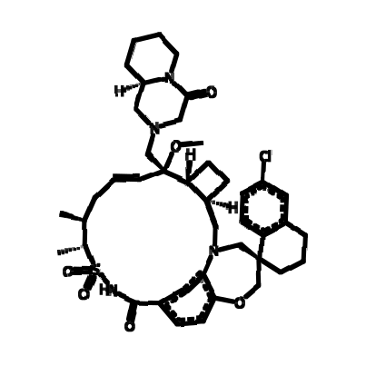 CO[C@@]1(CN2CC(=O)N3CCCC[C@@H]3C2)/C=C/C[C@H](C)[C@@H](C)S(=O)(=O)NC(=O)c2ccc3c(c2)N(C[C@@H]2CC[C@H]21)C[C@@]1(CCCc2cc(Cl)ccc21)CO3